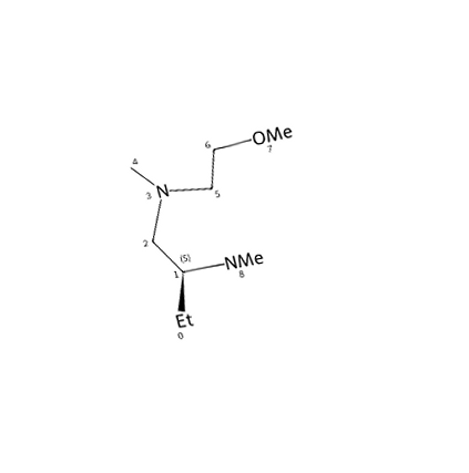 CC[C@@H](CN(C)CCOC)NC